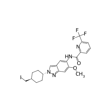 COc1cc2nn([C@H]3CC[C@H](CI)CC3)cc2cc1NC(=O)c1cccc(C(F)(F)F)n1